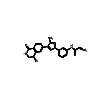 C=CC(=O)Nc1cccc(-n2cc(-c3ccc4c(c3)C(CC)CNC4=O)c(N)n2)c1